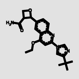 CCOc1cc(-n2cnc(C(C)(C)C)c2)nc2ccc(C3OCC3C(N)=O)cc12